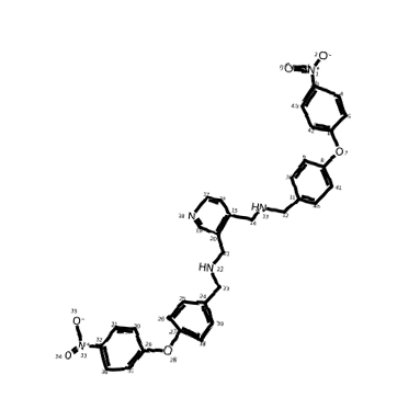 O=[N+]([O-])c1ccc(Oc2ccc(CNCc3ccncc3CNCc3ccc(Oc4ccc([N+](=O)[O-])cc4)cc3)cc2)cc1